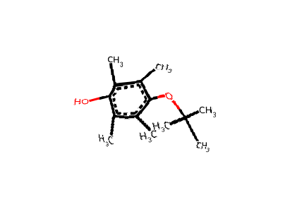 Cc1c(C)c(OC(C)(C)C)c(C)c(C)c1O